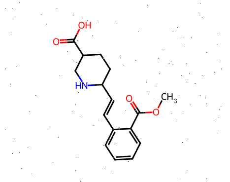 COC(=O)c1ccccc1C=CC1CCC(C(=O)O)CN1